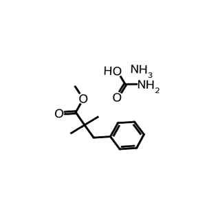 COC(=O)C(C)(C)Cc1ccccc1.N.NC(=O)O